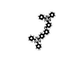 c1ccc(-c2nc(-c3ccccc3)nc(-c3ccc(-c4cccc(Oc5cccc(-c6nc(-c7ccccc7)nc(-c7ccccc7)n6)c5)c4)cc3)n2)cc1